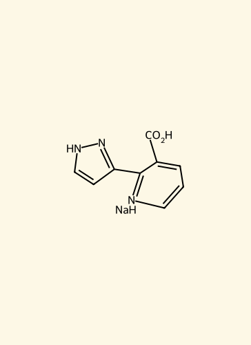 O=C(O)c1cccnc1-c1cc[nH]n1.[NaH]